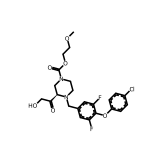 COCCOC(=O)N1CCN(Cc2cc(F)c(Oc3ccc(Cl)cc3)c(F)c2)[C@@H](C(=O)CO)C1